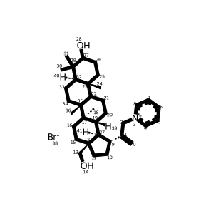 C=C(C[n+]1ccccc1)[C@@H]1CC[C@]2(CO)CC[C@]3(C)[C@H](CCC4[C@@]5(C)CCC(O)C(C)(C)[C@@H]5CC[C@]43C)[C@@H]12.[Br-]